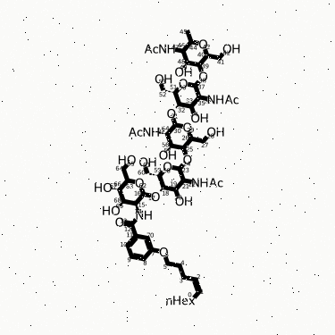 CCCCCC/C=C\CCCOc1cccc(C(=O)N[C@@H]2C(O[C@H]3C(O)C(NC(C)=O)C(OC4C(CO)OC(O[C@H]5C(O)C(NC(C)=O)C(OC6C(CO)OC(C)C(NC(C)=O)[C@H]6O)O[C@H]5CO)[C@@H](NC(C)=O)[C@H]4O)O[C@H]3CO)OC(CO)[C@@H](O)[C@@H]2O)c1